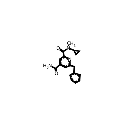 CN(C(=O)c1cc(C(N)=O)cc(Cc2ccccc2)n1)C1CC1